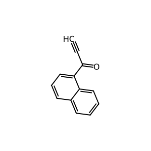 C#CC(=O)c1cccc2ccccc12